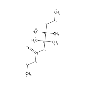 CCCC(=O)CC(C)(C)C(C)(C)CCC